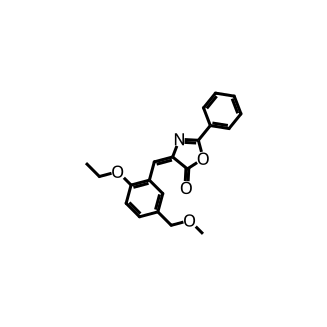 CCOc1ccc(COC)cc1/C=C1/N=C(c2ccccc2)OC1=O